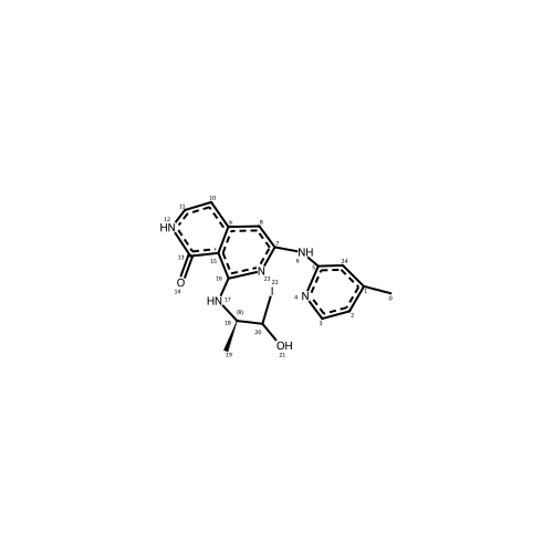 Cc1ccnc(Nc2cc3cc[nH]c(=O)c3c(N[C@H](C)C(O)I)n2)c1